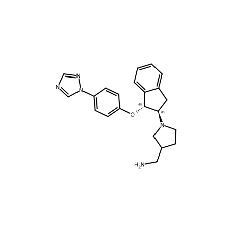 NCC1CCN([C@@H]2Cc3ccccc3[C@H]2Oc2ccc(-n3cncn3)cc2)C1